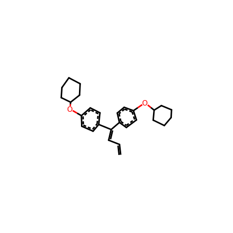 C=CC=C(c1ccc(OC2CCCCC2)cc1)c1ccc(OC2CCCCC2)cc1